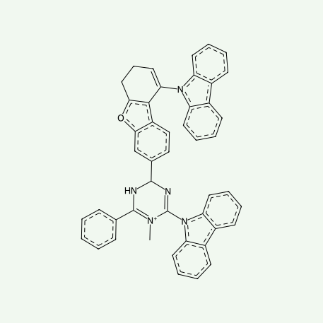 C[N+]1=C(c2ccccc2)NC(c2ccc3c4c(oc3c2)CCC=C4n2c3ccccc3c3ccccc32)N=C1n1c2ccccc2c2ccccc21